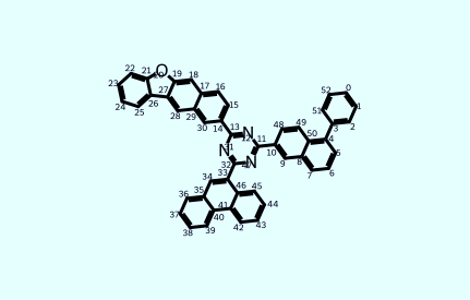 c1ccc(-c2cccc3cc(-c4nc(-c5ccc6cc7oc8ccccc8c7cc6c5)nc(-c5cc6ccccc6c6ccccc56)n4)ccc23)cc1